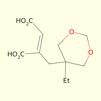 CCC1(CC(=CC(=O)O)C(=O)O)COCOC1